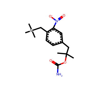 CC(C)(Cc1ccc(C[Si](C)(C)C)c([N+](=O)[O-])c1)OC(N)=O